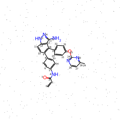 C=CC(=O)Nc1ccc(-c2ccc3[nH]nc(N)c3c2-c2ccc(Oc3nccc(C)n3)cc2)cc1